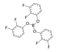 Fc1cccc(OB(Oc2cccc(F)c2F)Oc2cccc(F)c2F)c1F